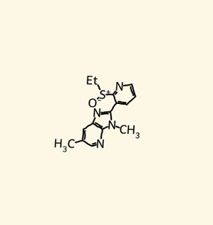 CC[S+]([O-])c1ncccc1-c1nc2cc(C)cnc2n1C